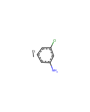 CCC.Nc1cccc(Cl)c1